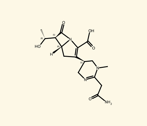 C[C@@H](O)[C@H]1C(=O)N2C(C(=O)O)=C([C@@H]3CN=C(CC(N)=O)N(C)C3)C[C@H]12